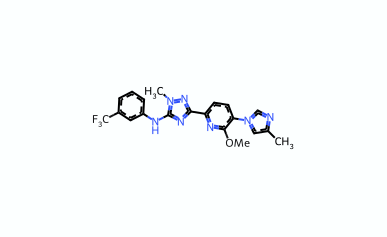 COc1nc(-c2nc(Nc3cccc(C(F)(F)F)c3)n(C)n2)ccc1-n1cnc(C)c1